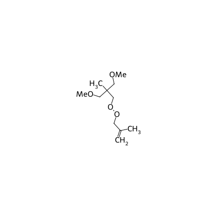 C=C(C)COOCC(C)(COC)COC